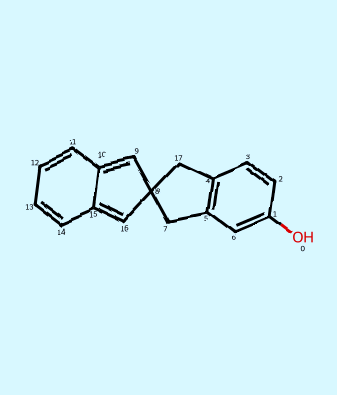 Oc1ccc2c(c1)CC1(C=c3ccccc3=C1)C2